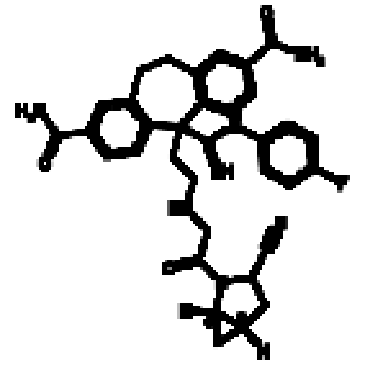 N#CC1C[C@@H]2C[C@@H]2N1C(=O)CNCCC1(C(=N)Nc2ccc(F)cc2)c2ccc(C(N)=O)cc2CCc2cc(C(N)=O)ccc21